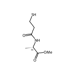 COC(=O)[C@H](C)NC(=O)CCS